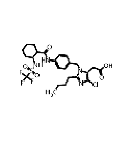 CCCCc1nc(Cl)c(CC(=O)O)n1Cc1ccc(NC(=O)C2CCCCC2NS(=O)(=O)C(F)(F)F)cc1